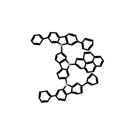 c1ccc(-c2ccc3c4ccc(-c5ccccc5)cc4n(-c4ccc5c6ccc(-n7c8cc(-c9ccccc9)ccc8c8ccc(-c9ccccc9)cc87)cc6n(-c6cc7ccc8cccc9ccc(c6)c7c89)c5c4)c3c2)cc1